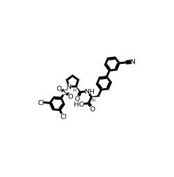 N#Cc1cccc(-c2ccc(C[C@H](NC(=O)[C@@H]3CCCN3S(=O)(=O)c3cc(Cl)cc(Cl)c3)C(=O)O)cc2)c1